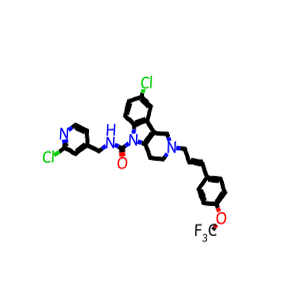 O=C(NCc1ccnc(Cl)c1)n1c2c(c3cc(Cl)ccc31)CN(C/C=C/c1ccc(OC(F)(F)F)cc1)CC2